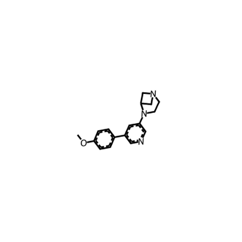 COc1ccc(-c2cncc(N3CCN4CC3C4)c2)cc1